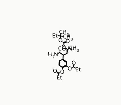 CCC(=O)Oc1ccc(C(CC(C)OC(=O)OC(C)(C)CC)[C@H](N)C(=O)O)cc1OC(=O)CC